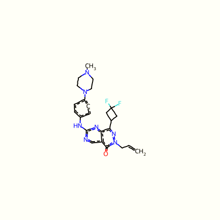 C=CCn1nc(C2CC(F)(F)C2)c2nc(Nc3ccc(N4CCN(C)CC4)cc3)ncc2c1=O